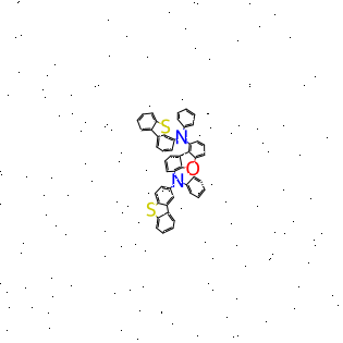 c1ccc(N(c2ccc3sc4ccccc4c3c2)c2cccc3c2oc2cccc(N(c4ccccc4)c4cccc5c4sc4ccccc45)c23)cc1